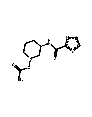 CC(C)(C)C(=O)ON1CCC[C@@H](NC(=O)c2nccs2)C1